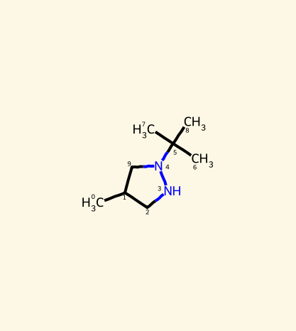 CC1CNN(C(C)(C)C)C1